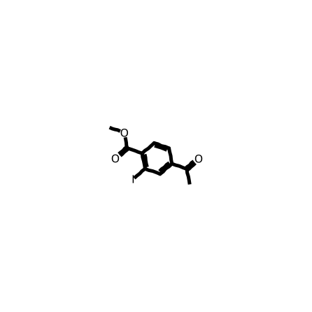 COC(=O)c1ccc(C(C)=O)cc1I